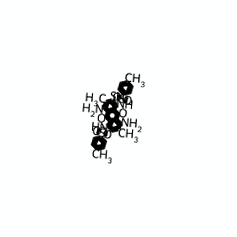 Cc1ccc(S(=O)(=O)Nc2cc(C)c(N)c3c2C(=O)c2c(N)c(C)c(S)c(NS(=O)(=O)c4ccc(C)cc4)c2C3=O)cc1